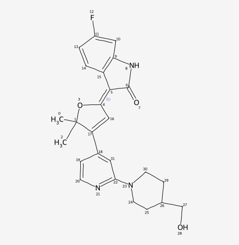 CC1(C)O/C(=C2/C(=O)Nc3cc(F)ccc32)C=C1c1ccnc(N2CCC(CO)CC2)c1